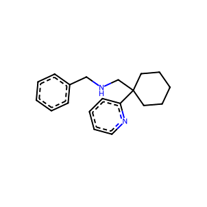 c1ccc(CNCC2(c3ccccn3)CCCCC2)cc1